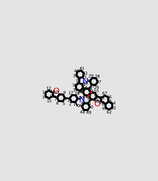 Cc1cc(-c2ccc3c(c2)oc2ccccc23)ccc1N(c1ccc(-c2ccccc2-n2c3ccccc3c3ccccc32)cc1)c1ccccc1-c1cccc2c1oc1c3ccccc3ccc21